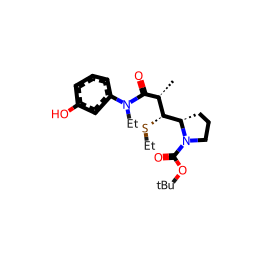 CCS[C@H]([C@@H](C)C(=O)N(CC)c1cccc(O)c1)[C@@H]1CCCN1C(=O)OC(C)(C)C